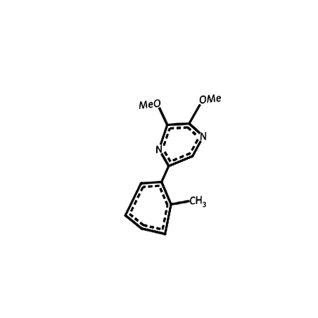 COc1ncc(-c2ccccc2C)nc1OC